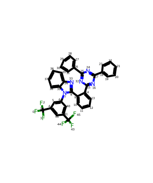 FC(F)(F)c1cc(-n2c(-c3ccccc3-c3nc(-c4ccccc4)nc(-c4ccccc4)n3)nc3ccccc32)cc(C(F)(F)F)c1